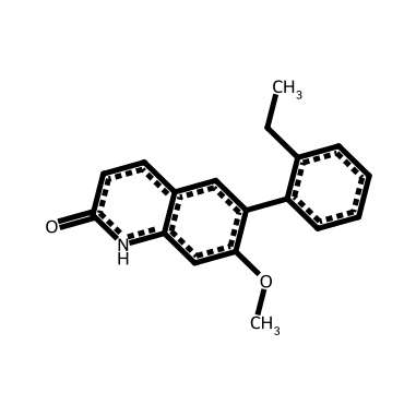 CCc1ccccc1-c1cc2ccc(=O)[nH]c2cc1OC